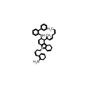 C=C(/C=C\C/C=C\C)C1c2c3c(n(CC/C=C\C4=C(N)CCC=C4)c2C=CC1Nc1ccccc1-c1ccccc1)C=CCC3